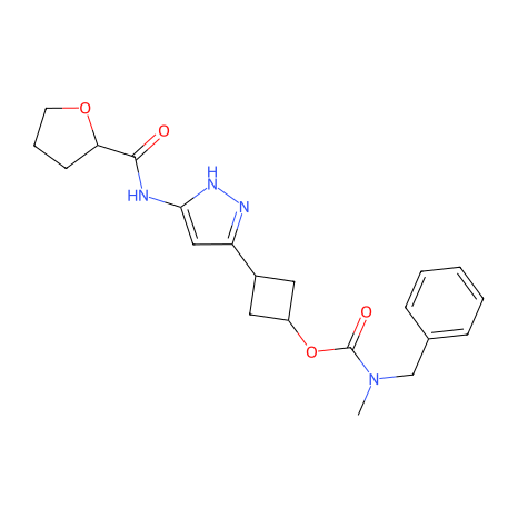 CN(Cc1ccccc1)C(=O)OC1CC(c2cc(NC(=O)C3CCCO3)[nH]n2)C1